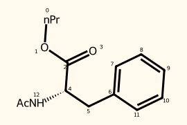 CCCOC(=O)[C@H](Cc1ccccc1)NC(C)=O